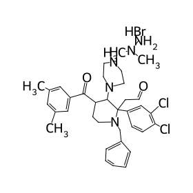 Br.CN(C)N.Cc1cc(C)cc(C(=O)C2CCN(Cc3ccccc3)C(CC=O)(c3ccc(Cl)c(Cl)c3)C2N2CCNCC2)c1